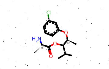 CC(C)C(OC(=O)[C@H](C)N)[C@H](C)Oc1cccc(Cl)c1